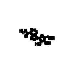 NC(=O)c1ncnc2c1ncn2[C@@H]1O[C@H](CO)[C@@H](O)[C@H]1O